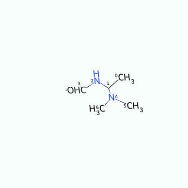 CC(N[C]=O)N(C)C